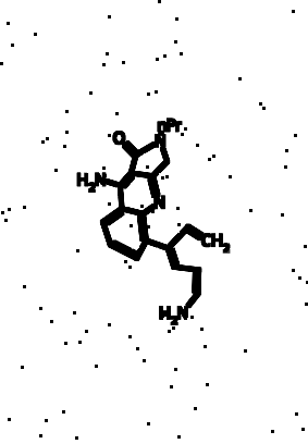 C=C/C(=C\C=C/N)c1cccc2c(N)c3c(nc12)CN(CCC)C3=O